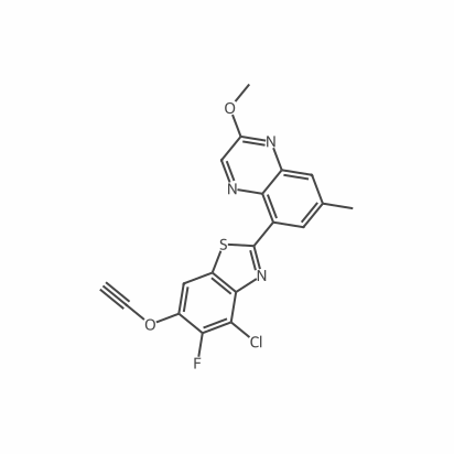 C#COc1cc2sc(-c3cc(C)cc4nc(OC)cnc34)nc2c(Cl)c1F